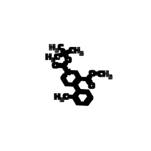 COC(=O)C1=C(c2ccccc2C)CCN(C(=O)OC(C)(C)C)C1